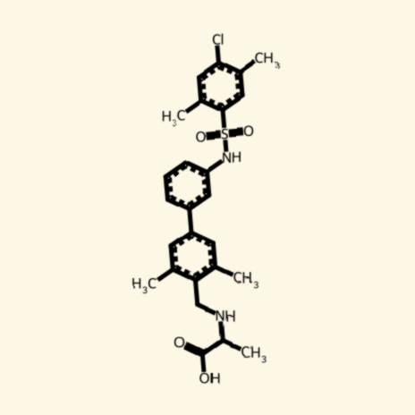 Cc1cc(S(=O)(=O)Nc2cccc(-c3cc(C)c(CNC(C)C(=O)O)c(C)c3)c2)c(C)cc1Cl